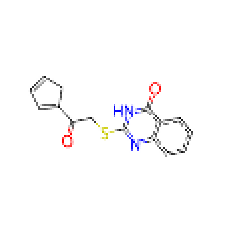 O=C(CSc1nc2ccccc2c(=O)[nH]1)C1=CC=CC1